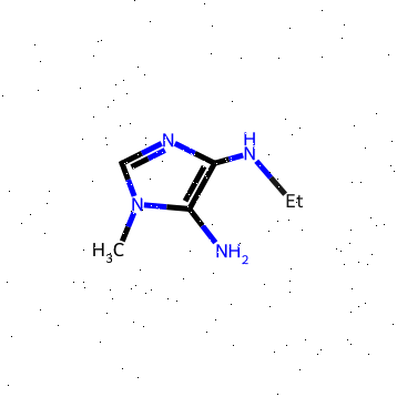 CCNc1ncn(C)c1N